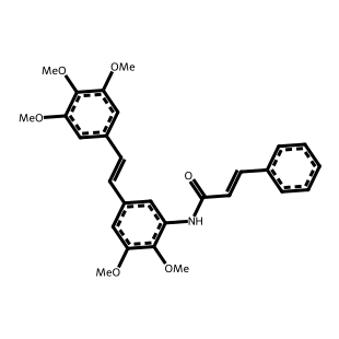 COc1cc(C=Cc2cc(OC)c(OC)c(OC)c2)cc(NC(=O)/C=C/c2ccccc2)c1OC